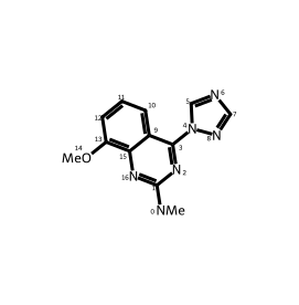 CNc1nc(-n2cncn2)c2cccc(OC)c2n1